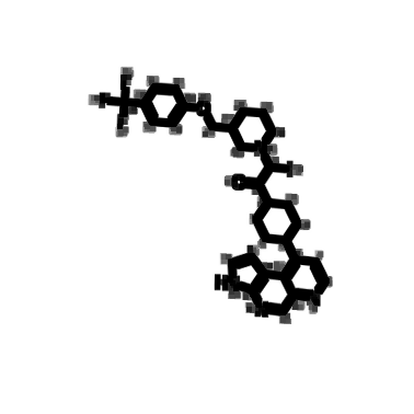 O=C(C1CCC(c2ccnc3cnc4[nH]ccc4c23)CC1)C(I)N1CCCC(COc2ccc(C(F)(F)F)cc2)C1